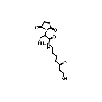 NCC(C(=O)NCCCCC(=O)CCS)N1C(=O)C=CC1=O